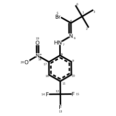 CC(C)(C)C(Br)=NNc1ccc(C(F)(F)F)cc1[N+](=O)[O-]